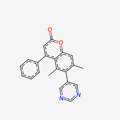 Cc1cc2oc(=O)cc(-c3ccccc3)c2c(C)c1-c1cncnc1